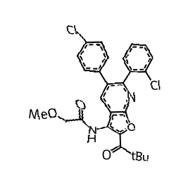 COCC(=O)Nc1c(C(=O)C(C)(C)C)oc2nc(-c3ccccc3Cl)c(-c3ccc(Cl)cc3)cc12